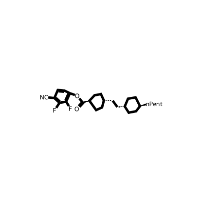 CCCCC[C@H]1CC[C@H](CC[C@H]2CC[C@H](C(=O)Oc3ccc(C#N)c(F)c3F)CC2)CC1